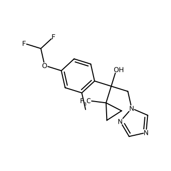 Cc1cc(OC(F)F)ccc1C(O)(Cn1cncn1)C1(C(F)(F)F)CC1